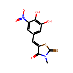 CN1C(=O)/C(=C/c2cc(O)c(O)c([N+](=O)[O-])c2)SC1=S